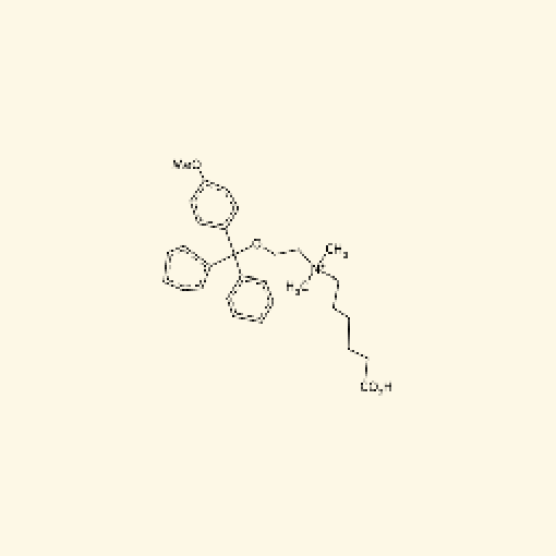 COc1ccc(C(OCC[N+](C)(C)CCCCCC(=O)O)(c2ccccc2)c2ccccc2)cc1